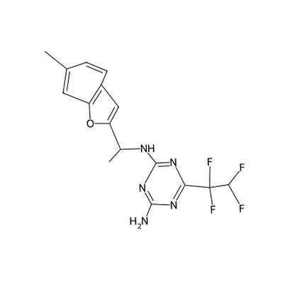 Cc1ccc2cc(C(C)Nc3nc(N)nc(C(F)(F)C(F)F)n3)oc2c1